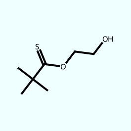 CC(C)(C)C(=S)OCCO